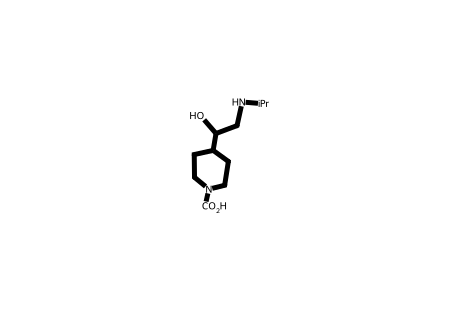 CC(C)NCC(O)C1CCN(C(=O)O)CC1